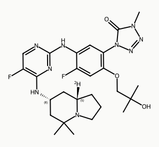 [2H][C@@]12CCCN1C(C)(C)C[C@H](Nc1nc(Nc3cc(-n4nnn(C)c4=O)c(OCC(C)(C)O)cc3F)ncc1F)C2